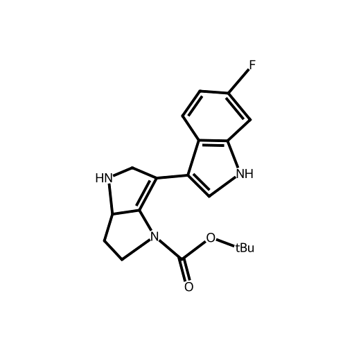 CC(C)(C)OC(=O)N1CCC2NCC(c3c[nH]c4cc(F)ccc34)=C21